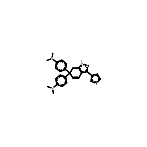 CN(C)c1ccc(C2(c3ccc(N(C)C)cc3)C=Cc3c(-c4ccsc4)n[nH]c3C2)cc1